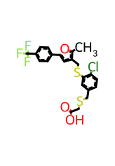 Cc1oc(-c2ccc(C(F)(F)F)cc2)cc1CSc1cc(CSCC(=O)O)ccc1Cl